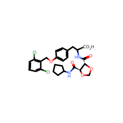 O=C(O)C(Cc1ccc(OCc2c(Cl)cccc2Cl)cc1)NC(=O)[C@@H]1OCO[C@H]1C(=O)NC1CCCC1